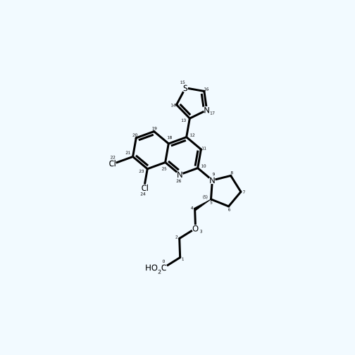 O=C(O)CCOC[C@@H]1CCCN1c1cc(-c2cscn2)c2ccc(Cl)c(Cl)c2n1